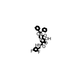 O=C(NCc1ccc(F)cc1F)c1cn2c(c(O)c1=O)C(=O)N1C(C2)O[C@@H](c2ccccc2)[C@H]1c1ccccc1